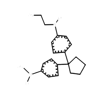 CCCN(CC)c1ccc(C2(c3ccc(N(CC)CCN=O)cc3)CCCC2)cc1